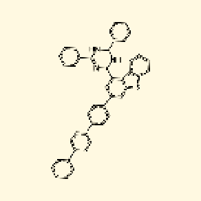 c1ccc(C2=NC(c3cc(-c4ccc(-c5ccc(-c6ccccc6)cc5)cc4)cc4sc5ccccc5c34)NC(c3ccccc3)N2)cc1